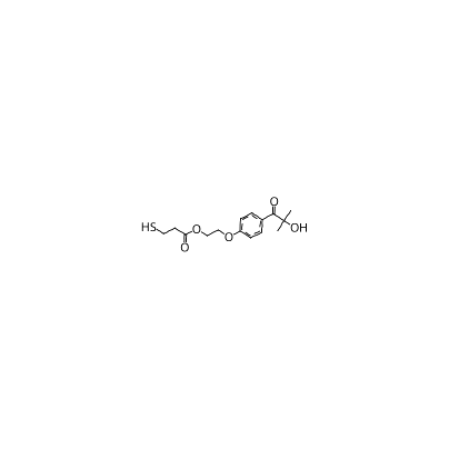 CC(C)(O)C(=O)c1ccc(OCCOC(=O)CCS)cc1